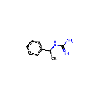 CC(NC(=N)N)c1ccccc1